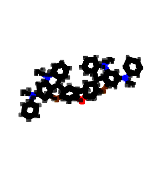 CC(C)N(c1ccccc1)c1cc2c3c(c1)N(C(C)C)c1ccccc1B3c1cc3c(cc1S2)oc1cc2c(cc13)B1c3ccccc3N(C(C)C)c3cc(N(c4ccccc4)C(C)C)cc(c31)S2